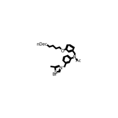 CCCCCCCCCCCCCCOc1cccc(CN(C(C)=O)c2cccc(C[n+]3csc(C)c3)c2)c1.[Br-]